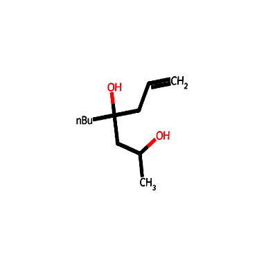 C=CCC(O)(CCCC)CC(C)O